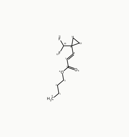 CCCCOC(=O)/C=C/C1(C(F)F)CC1